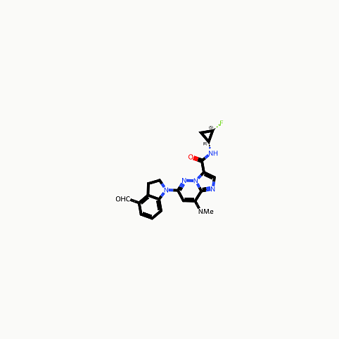 CNc1cc(N2CCc3c(C=O)cccc32)nn2c(C(=O)N[C@@H]3C[C@@H]3F)cnc12